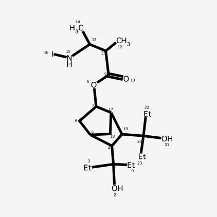 CCC(O)(CC)C1C2CC(OC(=O)C(C)C(C)NI)C(C2)C1C(O)(CC)CC